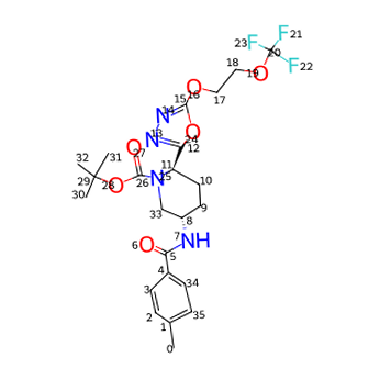 Cc1ccc(C(=O)N[C@H]2CC[C@H](c3nnc(OCCOC(F)(F)F)o3)N(C(=O)OC(C)(C)C)C2)cc1